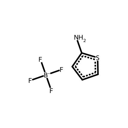 F[B-](F)(F)F.Nc1cccs1